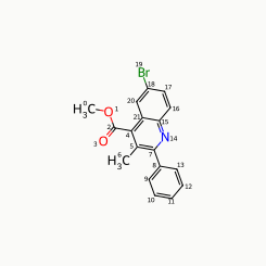 COC(=O)c1c(C)c(-c2ccccc2)nc2ccc(Br)cc12